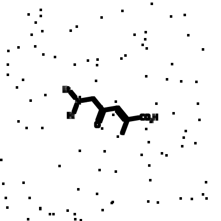 CCN(CC)CC(=O)C=C(C)C(=O)O